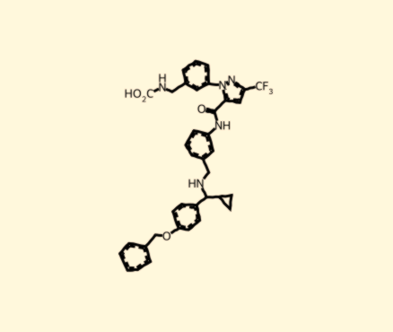 O=C(O)NCc1cccc(-n2nc(C(F)(F)F)cc2C(=O)Nc2cccc(CNC(c3ccc(OCc4ccccc4)cc3)C3CC3)c2)c1